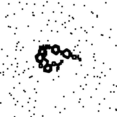 CN1CCN(c2ccc(Nc3ncc4ccc(=O)n(Cc5ccccc5OC(F)F)c4n3)cc2)CC1